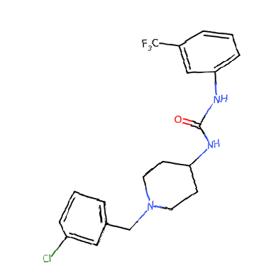 O=C(Nc1cccc(C(F)(F)F)c1)NC1CCN(Cc2cccc(Cl)c2)CC1